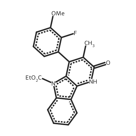 CCOC(=O)n1c2ccccc2c2[nH]c(=O)c(C)c(-c3cccc(OC)c3F)c21